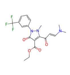 CCOC(=O)c1c(C(=O)/C=C/N(C)C)n(C)n(-c2cccc(C(F)(F)F)c2)c1=O